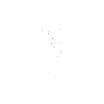 COc1ccc(-c2cncc(NS(=O)(=O)c3cc(F)ccc3OC)c2)cc1